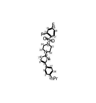 CCCc1ccc(-c2csc(N3CCN(S(=O)(=O)c4ccc(F)cc4F)CC3)n2)cc1